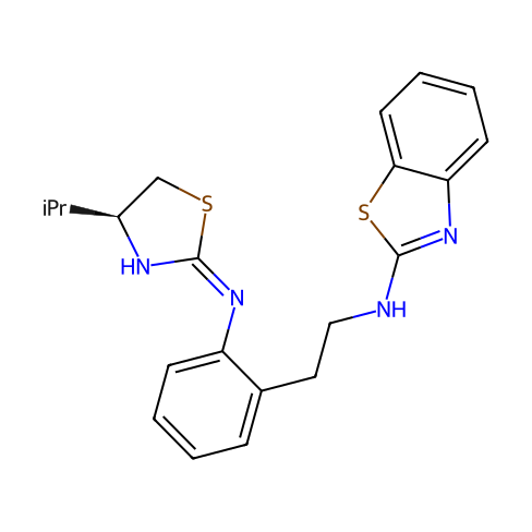 CC(C)[C@H]1CS/C(=N/c2ccccc2CCNc2nc3ccccc3s2)N1